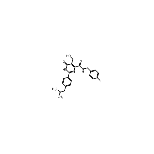 CN(C)Cc1ccc(-c2nc(C(=O)NCc3ccc(F)cc3)c(CO)c(=O)[nH]2)cc1